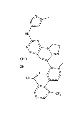 Cc1ccc(-c2c(C(N)=O)cccc2C(F)(F)F)cc1C1=Cc2cnc(Nc3cnn(C)c3)nc2N2CCN=C12.O=CO